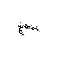 Cc1ccc(-c2noc(C)c2COc2ccc(C(=O)NC3CN(C(C)C)C3)nn2)cn1